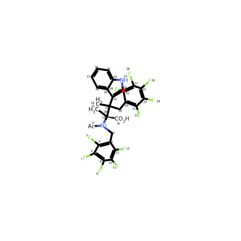 CC(=O)N(Cc1c(F)c(F)c(F)c(F)c1F)[C@@](C)(C(=O)O)C(C)(Cc1c(F)c(F)c(F)c(F)c1F)c1c[nH]c2ccccc12